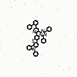 c1ccc(-c2nc(-c3ccccc3)nc(-c3cc(-c4ccccc4-c4ccccc4)cnc3-c3ccc4c(c3)sc3c4ccc4c3c3ccccc3n4-c3ccccc3)n2)cc1